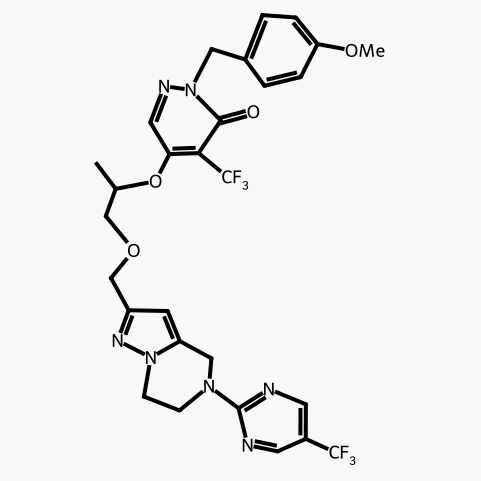 COc1ccc(Cn2ncc(OC(C)COCc3cc4n(n3)CCN(c3ncc(C(F)(F)F)cn3)C4)c(C(F)(F)F)c2=O)cc1